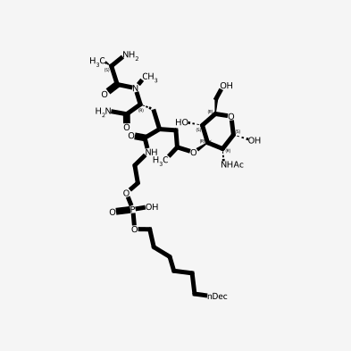 CCCCCCCCCCCCCCCCOP(=O)(O)OCCNC(=O)C(CC(C)O[C@H]1[C@H](O)[C@@H](CO)O[C@H](O)[C@@H]1NC(C)=O)C[C@H](C(N)=O)N(C)C(=O)[C@H](C)N